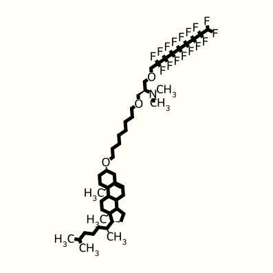 CC(C)CCC[C@@H](C)[C@H]1CCC2C3CC=C4C[C@@H](OCCCCCCCCOC[C@@H](COCC(F)(F)C(F)(F)C(F)(F)C(F)(F)C(F)(F)C(F)(F)C(F)(F)C(F)F)N(C)C)CC[C@]4(C)C3CC[C@@]21C